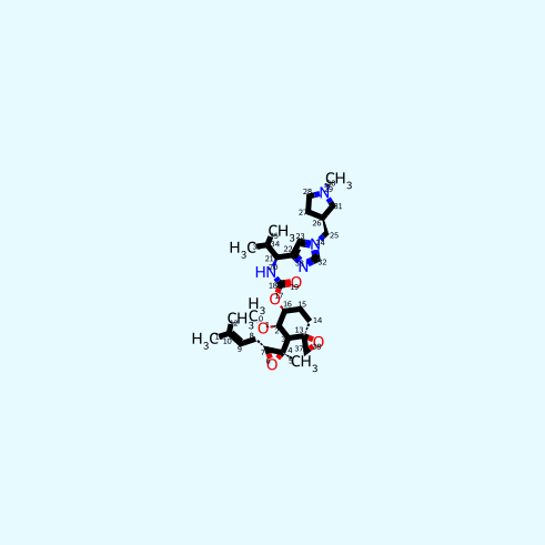 CO[C@H]1C([C@@]2(C)O[C@@H]2CC=C(C)C)[C@]2(CC[C@H]1OC(=O)N[C@H](c1cn(C[C@H]3CCN(C)C3)cn1)C(C)C)CO2